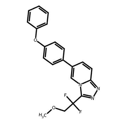 COCC(F)(F)c1nnc2ccc(-c3ccc(Oc4ccccc4)cc3)cn12